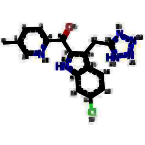 Cc1ccc(C(=O)c2[nH]c3cc(Cl)ccc3c2Cc2nnn[nH]2)nc1